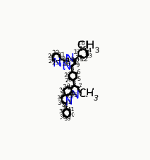 Cc1cc(-c2ccc(-c3cc(C4=CC=CC(C)C4)nc(-c4ccccn4)n3)cc2)c2ccc3ccc(-c4ccccc4)nc3c2n1